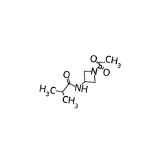 CC(C)C(=O)NC1CN(S(C)(=O)=O)C1